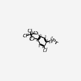 CCCc1cc2c(cc1Cl)OC(Cl)(Cl)O2